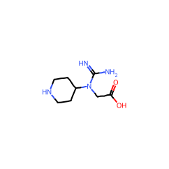 N=C(N)N(CC(=O)O)C1CCNCC1